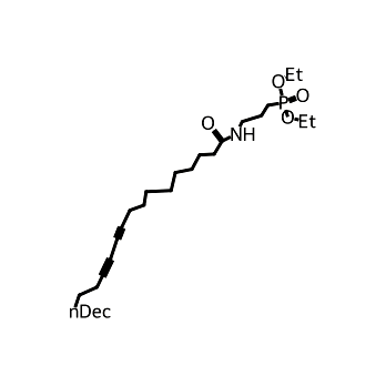 CCCCCCCCCCCCC#CC#CCCCCCCCCC(=O)NCCCP(=O)(OCC)OCC